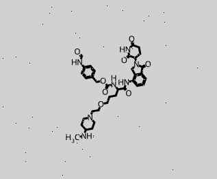 CNC1CCN(CCOCCCC(NC(=O)OCc2ccc(NC=O)cc2)C(=O)Nc2cccc3c2CN(C2CCC(=O)NC2=O)C3=O)CC1